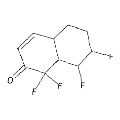 O=C1C=CC2CCC(F)C(F)C2C1(F)F